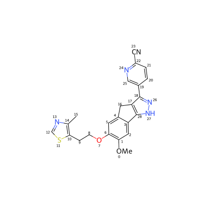 COc1cc2c(cc1OCCc1scnc1C)Cc1c(-c3ccc(C#N)nc3)n[nH]c1-2